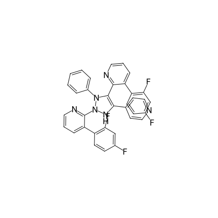 Fc1ccc(-c2cccnc2C2=C(c3ccncc3)NN(c3ncccc3-c3ccc(F)cc3F)N2c2ccccc2)c(F)c1